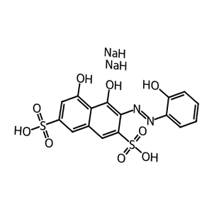 O=S(=O)(O)c1cc(O)c2c(O)c(N=Nc3ccccc3O)c(S(=O)(=O)O)cc2c1.[NaH].[NaH]